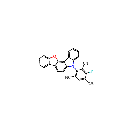 CC(C)(C)c1cc(C#N)c(-n2c3ccccc3c3c4oc5ccccc5c4ccc32)c(C#N)c1F